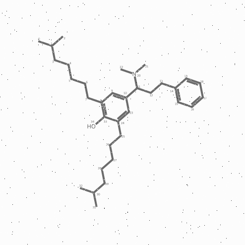 CC(C)CCCCCc1cc(C(CCc2ccccc2)N(C)C)cc(CCCCCC(C)C)c1O